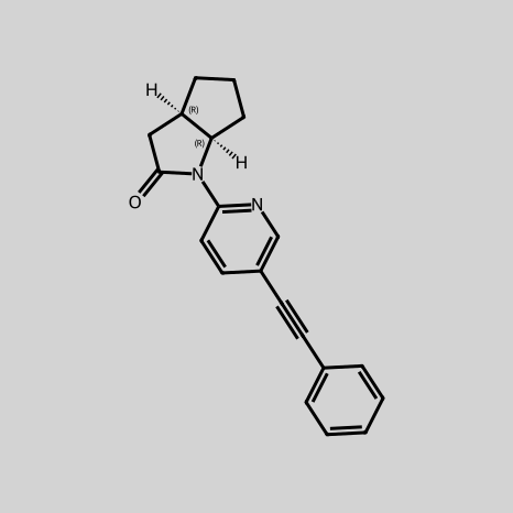 O=C1C[C@H]2CCC[C@H]2N1c1ccc(C#Cc2ccccc2)cn1